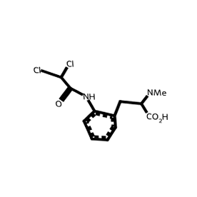 CNC(Cc1ccccc1NC(=O)C(Cl)Cl)C(=O)O